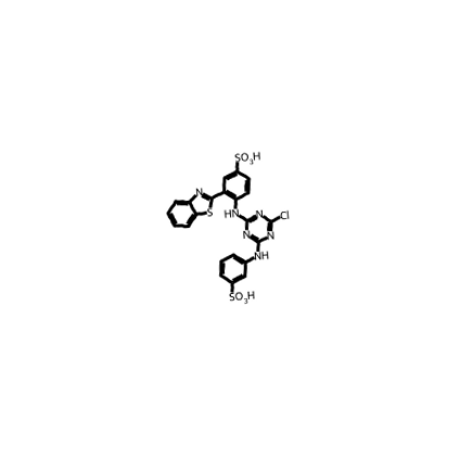 O=S(=O)(O)c1cccc(Nc2nc(Cl)nc(Nc3ccc(S(=O)(=O)O)cc3-c3nc4ccccc4s3)n2)c1